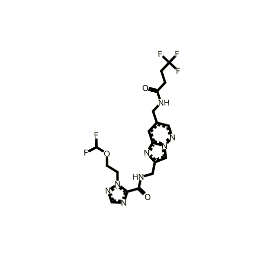 O=C(CCC(F)(F)F)NCc1cnn2cc(CNC(=O)c3ncnn3CCOC(F)F)nc2c1